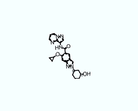 O=C(Nc1cnn2cccnc12)c1cc2cn([C@@H]3CCC[C@H](O)C3)nc2cc1OC1CC1